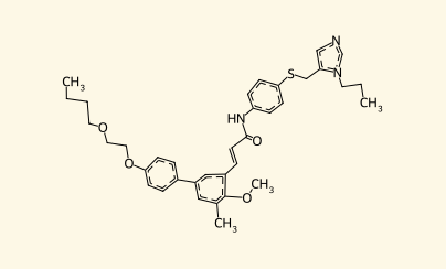 CCCCOCCOc1ccc(-c2cc(C)c(OC)c(/C=C/C(=O)Nc3ccc(SCc4cncn4CCC)cc3)c2)cc1